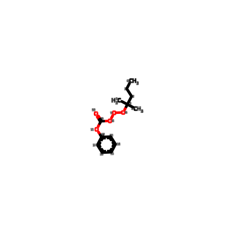 CCCC(C)(C)OOOC(=O)Oc1ccccc1